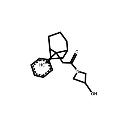 O=C(CC1(c2ccccc2)C2CCCC1C(O)C2)N1CC(O)C1